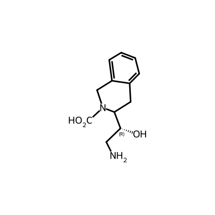 NC[C@@H](O)C1Cc2ccccc2CN1C(=O)O